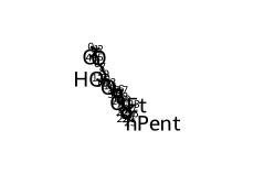 C=C(C)C(=O)OCCCCC(CO)COc1ccc2cc(-c3ccc(CCCCC)cc3CC)oc2c1